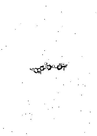 CN1c2cc(-n3ccc(OCc4ccc(C(F)(F)F)nc4)cc3=O)ccc2C2CNCCC21